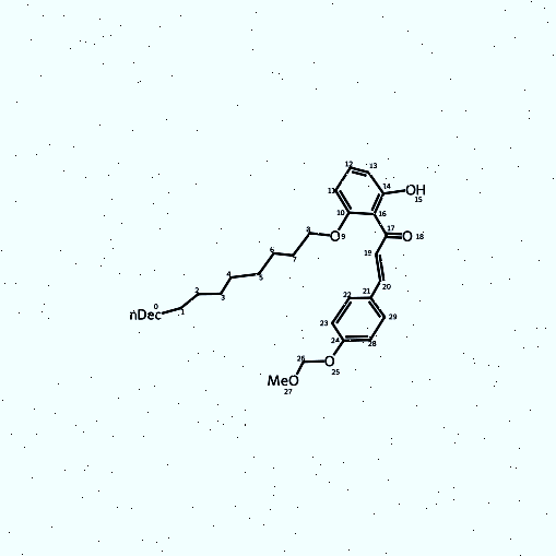 CCCCCCCCCCCCCCCCCCOc1cccc(O)c1C(=O)/C=C/c1ccc(OCOC)cc1